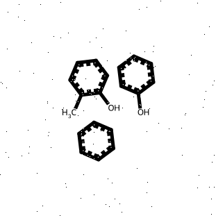 Cc1ccccc1O.Oc1ccccc1.c1ccccc1